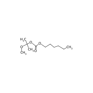 CCCCCCOC(=O)OC(C)(C)OC